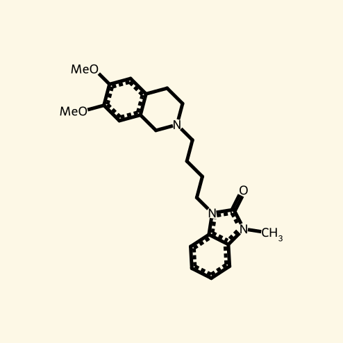 COc1cc2c(cc1OC)CN(CCCCn1c(=O)n(C)c3ccccc31)CC2